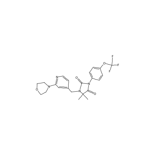 CC1(C)C(=O)N(c2ccc(OC(F)(F)F)cc2)C(=O)N1Cc1ccnc(N2CCOCC2)c1